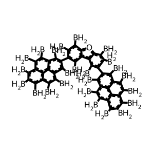 Bc1c(-c2c(B)c3c(B)c(B)c4c(B)c(B)c(B)c5c(B)c(B)c(c2B)c3c45)c(B)c2c(oc3c(B)c(B)c(-c4c(B)c5c(B)c(B)c6c(B)c(B)c(B)c7c(B)c(B)c(c4B)c5c67)c(B)c32)c1B